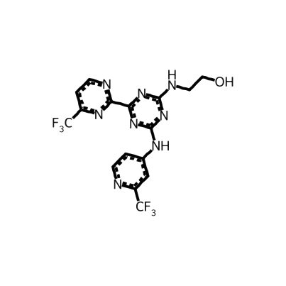 OCCNc1nc(Nc2ccnc(C(F)(F)F)c2)nc(-c2nccc(C(F)(F)F)n2)n1